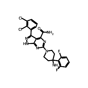 NC(=O)c1nc(N2CCC(N)(c3c(F)cccc3F)CC2)nc2[nH]nc(-c3cccc(Cl)c3Cl)c12